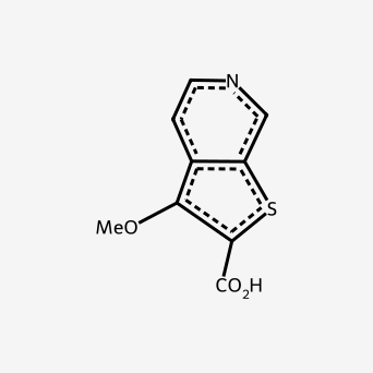 COc1c(C(=O)O)sc2cnccc12